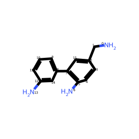 NCc1ccc(N)c(-c2cccc(N)c2)c1